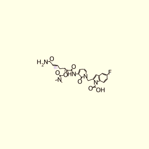 CN(C)C(=O)O[C@@H](CC/C=C/C(N)=O)C(=O)Nc1cccn(Cc2cc3cc(F)ccc3n2C(=O)O)c1=O